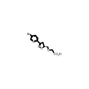 CCOC(=O)COC[C@@H]1CC(c2ccc(Br)cn2)=NO1